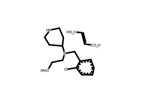 COCCN(Cc1ccccc1Cl)C1CCNCC1.O=C(O)C=CC(=O)O